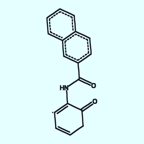 O=C1CC=C[C]=C1NC(=O)c1ccc2ccccc2c1